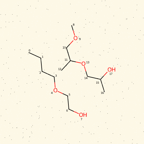 CCCCOCCO.COCC(C)OCC(C)O